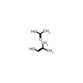 CC(=O)O.CC(C)=CO